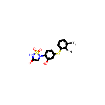 N#Cc1c(Sc2ccc(N3CC(=O)NS3(=O)=O)c(O)c2)cccc1C(F)(F)F